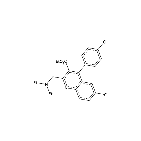 CCOC(=O)c1c(CN(CC)CC)nc2ccc(Cl)cc2c1-c1ccc(Cl)cc1